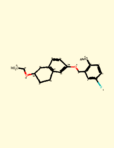 COc1ccc(F)cc1COc1ccc2c(c1)CCC(OCC(=O)O)C2